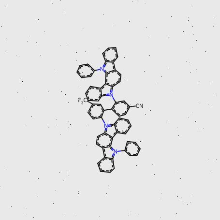 N#Cc1ccc(-c2cc(C(F)(F)F)ccc2-n2c3ccccc3c3c2ccc2c4ccccc4n(-c4ccccc4)c23)c(-n2c3ccccc3c3c2ccc2c4ccccc4n(-c4ccccc4)c23)c1